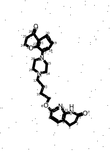 O=C1CCc2ccc(OCCCCN3CCN(c4cccc5c4OCCC5=O)CC3)nc2N1